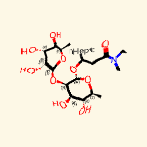 CCCCCCCC(CC(=O)N(C)C)O[C@@H]1O[C@@H](C)[C@H](O)[C@@H](O)[C@H]1O[C@@H]1O[C@H](C)C(O)[C@@H](O)[C@H]1O